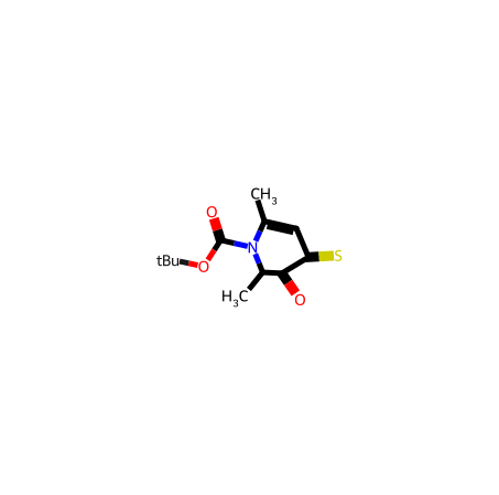 CC1=CC(=S)C(=O)C(C)N1C(=O)OC(C)(C)C